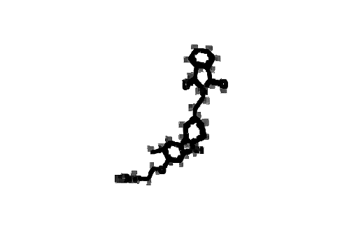 CCCCCCCCCCCCOc1cc2[nH]c3ccc(CCN4C(=O)c5ccccc5C4=O)cc3c2cc1C